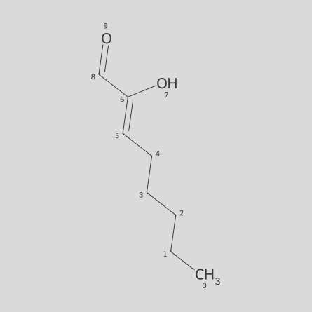 CCCCCC=C(O)C=O